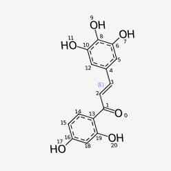 O=C(/C=C/c1cc(O)c(O)c(O)c1)c1ccc(O)cc1O